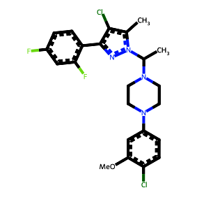 COc1cc(N2CCN(C(C)n3nc(-c4ccc(F)cc4F)c(Cl)c3C)CC2)ccc1Cl